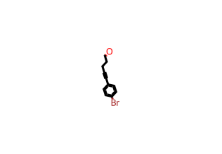 O=CCCC#Cc1ccc(Br)cc1